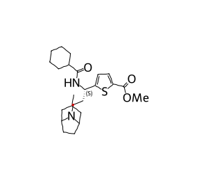 COC(=O)c1ccc([C@H](CCN2C3CCC2CC(C)C3)NC(=O)C2CCCCC2)s1